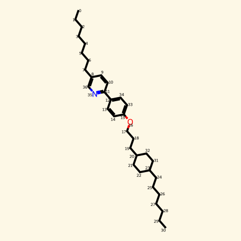 CCCCCCCCc1ccc(-c2ccc(OCCCC3CCC(CCCCCCC)CC3)cc2)nc1